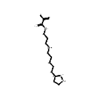 C=C(C)C(=O)OCCCNCCCCCC1CCSS1